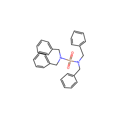 O=S(=O)(N(Cc1ccccc1)Cc1ccccc1)N(Cc1ccccc1)Cc1ccccc1